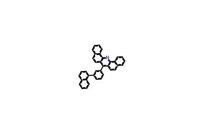 c1cc(-c2cccc3ccccc23)cc(-c2c3ccc4ccccc4c3nc3c2ccc2ccccc23)c1